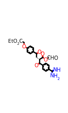 CCOC(=O)COc1ccc(C(=O)C[C@H](C(=O)OC=O)C(=O)c2ccc(C(=N)N)cc2)cc1